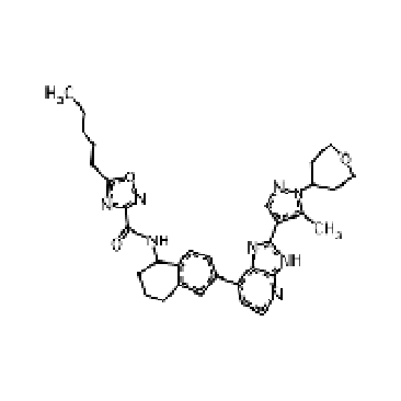 CCCCCc1nc(C(=O)NC2CCCc3cc(-c4ccnc5[nH]c(-c6cnn(C7CCOCC7)c6C)nc45)ccc32)no1